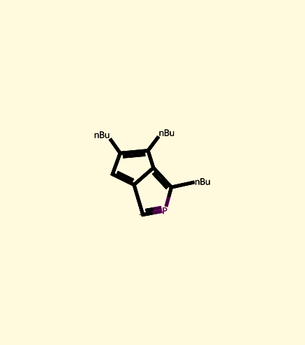 CCCCC1=C(CCCC)C2=C(CCCC)P=[C]C2=C1